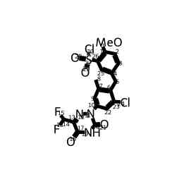 COc1ccc(Cc2c(C)cc(-n3nc(C(F)F)c(=O)[nH]c3=O)cc2Cl)cc1S(=O)(=O)Cl